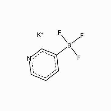 F[B-](F)(F)c1cccnc1.[K+]